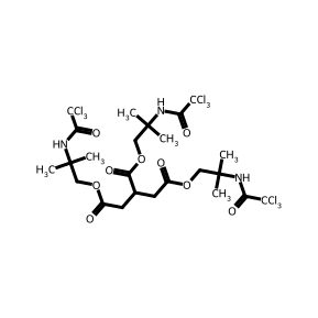 CC(C)(COC(=O)CC(CC(=O)OCC(C)(C)NC(=O)C(Cl)(Cl)Cl)C(=O)OCC(C)(C)NC(=O)C(Cl)(Cl)Cl)NC(=O)C(Cl)(Cl)Cl